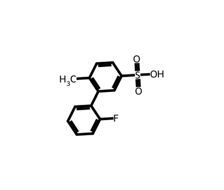 Cc1ccc(S(=O)(=O)O)cc1-c1ccccc1F